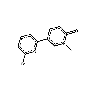 Cn1cc(-c2cccc(Br)n2)ccc1=O